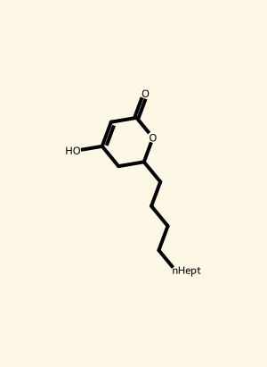 CCCCCCCCCCCC1CC(O)=CC(=O)O1